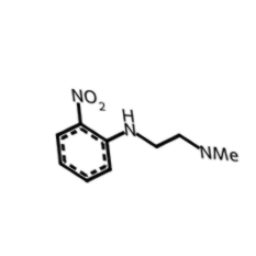 CNCCNc1ccccc1[N+](=O)[O-]